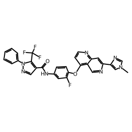 Cn1cnc(-c2cc3nccc(Oc4ccc(NC(=O)c5cnn(-c6ccccc6)c5C(F)(F)F)cc4F)c3cn2)c1